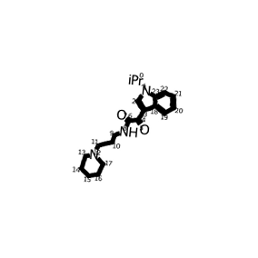 CC(C)n1cc(C(=O)C(=O)NCCCN2CCCCC2)c2ccccc21